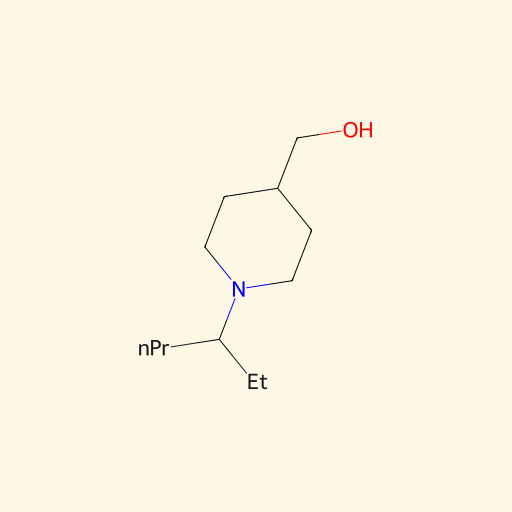 CCCC(CC)N1CCC(CO)CC1